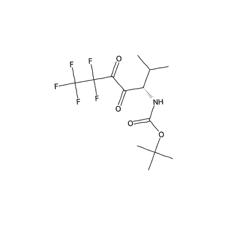 CC(C)[C@H](NC(=O)OC(C)(C)C)C(=O)C(=O)C(F)(F)C(F)(F)F